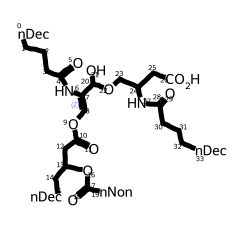 CCCCCCCCCCCCCC(=O)N/C(=C\OC(=O)CC(CCCCCCCCCCC)OC(=O)CCCCCCCCC)C(O)OCC(CC(=O)O)NC(=O)CCCCCCCCCCCCC